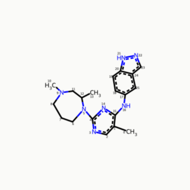 Cc1cnc(N2CCCN(C)CC2C)nc1Nc1ccc2[nH]ncc2c1